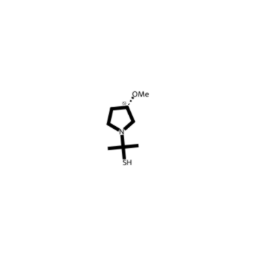 CO[C@H]1CCN(C(C)(C)S)C1